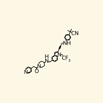 CC(C)(C#N)c1ccc(NCC#Cc2cc3cc(CNC4CCN(C(=O)Cc5ccncc5)CC4)ccc3n2CC(F)(F)F)cc1